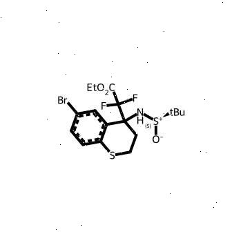 CCOC(=O)C(F)(F)C1(N[S@+]([O-])C(C)(C)C)CCSc2ccc(Br)cc21